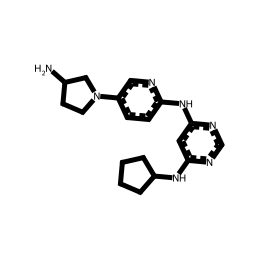 NC1CCN(c2ccc(Nc3cc(NC4CCCC4)ncn3)nc2)C1